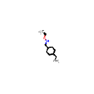 C=CONCC1CCC(CC)CC1